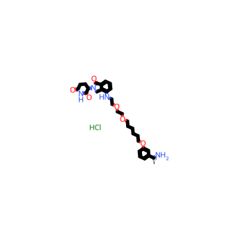 C[C@@H](N)c1cccc(OCCCCCCOCCOCCNc2cccc3c2CN(C2CCC(=O)NC2=O)C3=O)c1.Cl